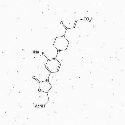 CC(=O)NCC1CN(c2ccc(N3CCN(C(=O)C=CC(=O)O)CC3)c(F)c2)C(=O)O1.[NaH]